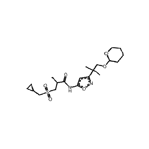 CC(CS(=O)(=O)CC1CC1)C(=O)Nc1cc(C(C)(C)COC2CCCCO2)no1